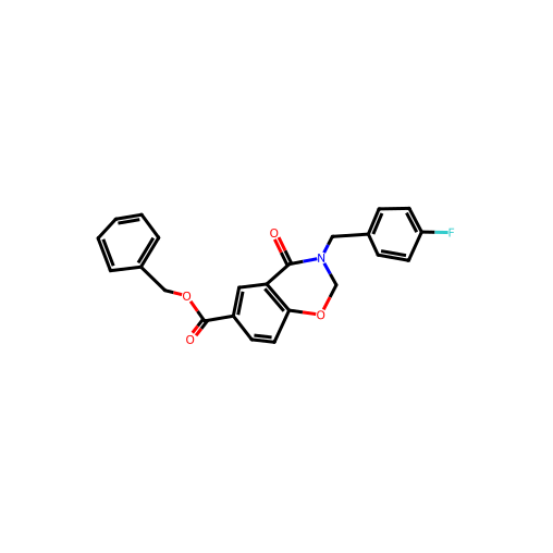 O=C(OCc1ccccc1)c1ccc2c(c1)C(=O)N(Cc1ccc(F)cc1)CO2